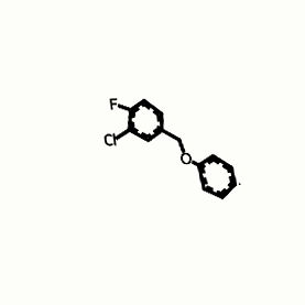 Fc1ccc(COc2cc[c]cc2)cc1Cl